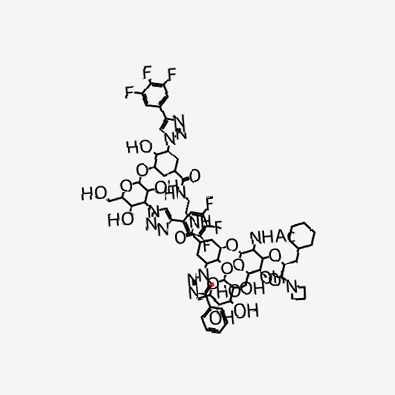 CC(=O)NC1C(O[C@@H](CC2CCCCC2)C(=O)N2CCC2)[C@@H](O)C(CO)O[C@H]1O[C@@H]1CC(C(=O)NCCNC(=O)C2CC(n3cc(-c4cc(F)c(F)c(F)c4)nn3)C(O)[C@H](O[C@@H]3OC(CO)[C@H](O)C(n4cc(-c5cc(F)c(F)c(F)c5)nn4)C3O)C2)CC(n2cc(-c3ccccc3)nn2)C1O[C@@H]1OC(C)[C@@H](O)C(O)C1O